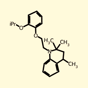 CC(C)Oc1ccccc1OCCN1c2ccccc2C(C)CC1(C)C